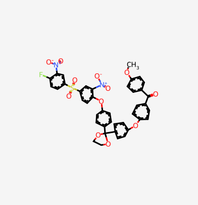 COc1ccc(C(=O)c2ccc(Oc3ccc(C4(c5ccc(Oc6ccc(S(=O)(=O)c7ccc(F)c([N+](=O)[O-])c7)cc6[N+](=O)[O-])cc5)OCCO4)cc3)cc2)cc1